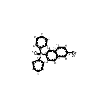 O=P(c1ccccc1)(c1ccccc1)c1ccc2cc(Br)ccc2c1